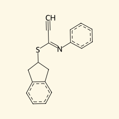 C#CC(=Nc1ccccc1)SC1Cc2ccccc2C1